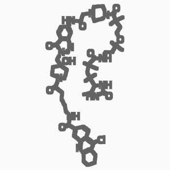 CC1NC(=O)NC1C(C)(C)CC(C)(C)C(=O)NCCC(C)(C)OCCC(C)(C)C(=O)N1CCN(CC(=O)Nc2ccc3c(=O)n(CC4(O)CCN(C(=O)CCCCNC(=O)c5ccc6c(Cl)c7c(nc6c5)CCCC7)CC4)cnc3c2)CC1